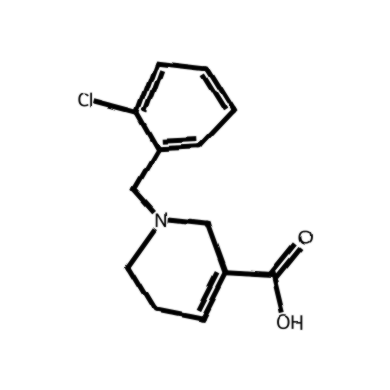 O=C(O)C1=CCCN(Cc2ccccc2Cl)C1